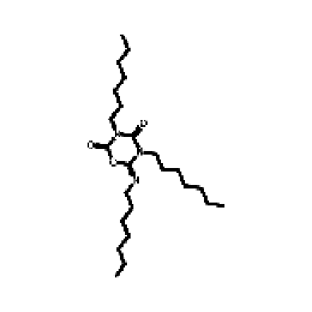 CCCCCCC/N=c1\oc(=O)n(CCCCCCC)c(=O)n1CCCCCCC